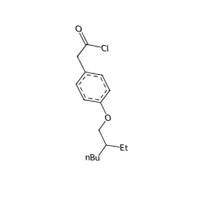 CCCCC(CC)COc1ccc(CC(=O)Cl)cc1